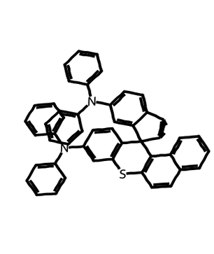 c1ccc(N(c2ccccc2)c2ccc3c(c2)Sc2ccc4ccccc4c2C32c3ccccc3-c3ccc(N(c4ccccc4)c4ccccc4)cc32)cc1